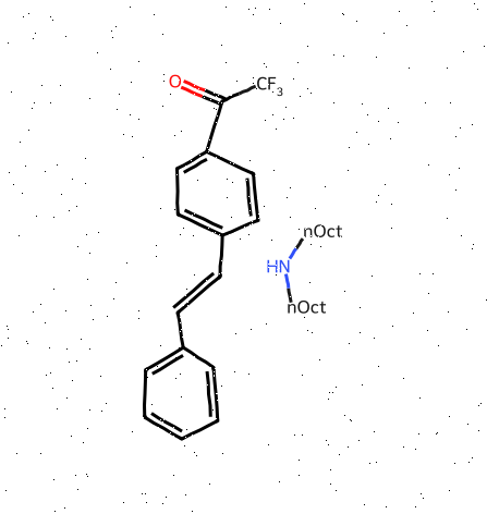 CCCCCCCCNCCCCCCCC.O=C(c1ccc(C=Cc2ccccc2)cc1)C(F)(F)F